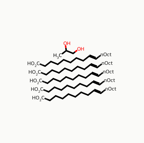 CC(O)CO.CCCCCCCCC=CCCCCCCCC(=O)O.CCCCCCCCC=CCCCCCCCC(=O)O.CCCCCCCCC=CCCCCCCCC(=O)O.CCCCCCCCC=CCCCCCCCC(=O)O.CCCCCCCCC=CCCCCCCCC(=O)O